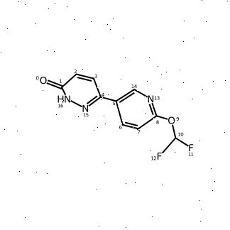 O=c1ccc(-c2ccc(OC(F)F)nc2)n[nH]1